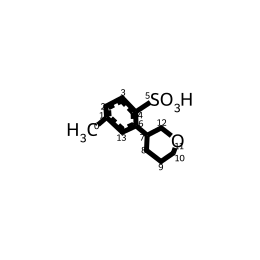 Cc1ccc(S(=O)(=O)O)c(C2CCCOC2)c1